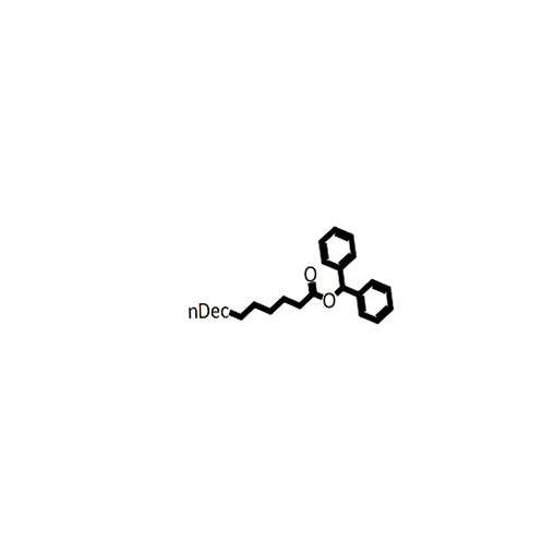 CCCCCCCCCCCCCCCC(=O)OC(c1ccccc1)c1ccccc1